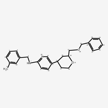 Cc1cccc(CNc2ccc(C3CCOC(COCc4ccccc4)C3)cn2)c1